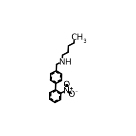 CCCCCNCc1ccc(-c2ccccc2[N+](=O)[O-])cc1